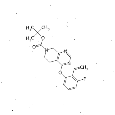 C=Cc1c(F)cccc1Oc1ncnc2c1CCN(C(=O)OC(C)(C)C)C2